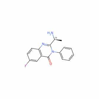 C[C@H](N)c1nc2ccc(I)cc2c(=O)n1-c1ccccc1